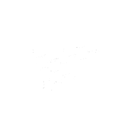 CN1CCN(C(=O)CC(Nc2cccc(F)c2)c2cc3c(cc2C=O)CCC3)CC1